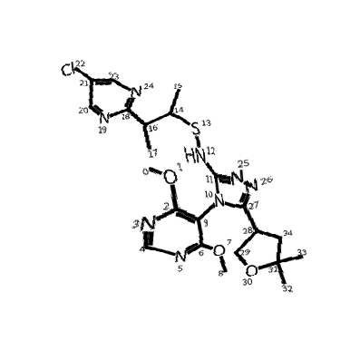 COc1ncnc(OC)c1-n1c(NSC(C)C(C)c2ncc(Cl)cn2)nnc1C1COC(C)(C)C1